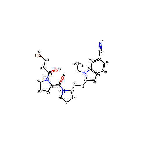 CCn1c(CC[C@@H]2CCCN2C(=O)[C@H]2CCCN2C(=O)CCS)cc2ccc(C#N)cc21